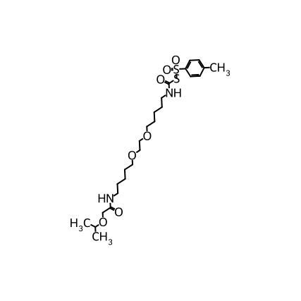 Cc1ccc(S(=O)(=O)SC(=O)NCCCCCOCCOCCCCCNC(=O)COC(C)C)cc1